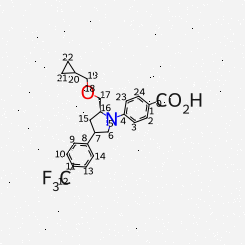 O=C(O)c1ccc(N2CC(c3ccc(C(F)(F)F)cc3)C[C@H]2COCC2CC2)cc1